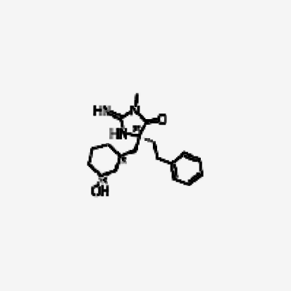 CN1C(=N)N[C@](CCc2ccccc2)(C[C@@H]2CCC[C@@H](O)C2)C1=O